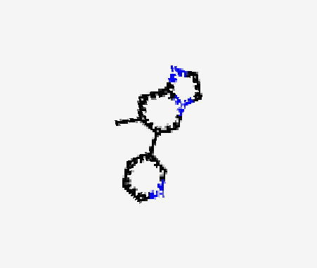 Cc1cc2nccn2cc1-c1cccnc1